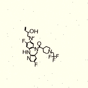 C=CC(O)CN(C)c1cc2c(cc1F)Nc1ncc(F)cc1CN2C(=O)C1CCN(CC(F)(F)F)CC1